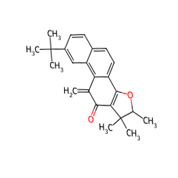 C=C1C(=O)C2=C(OC(C)C2(C)C)c2ccc3ccc(C(C)(C)C)cc3c21